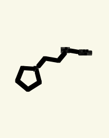 CONCCN1CCCC1